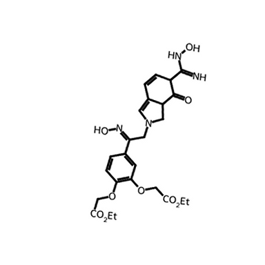 CCOC(=O)COc1ccc(C(CN2C=C3C=CC(C(=N)NO)C(=O)C3C2)=NO)cc1OCC(=O)OCC